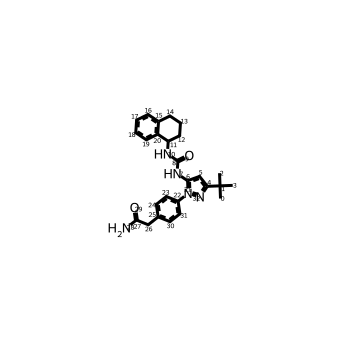 CC(C)(C)c1cc(NC(=O)NC2CCCc3ccccc32)n(-c2ccc(CC(N)=O)cc2)n1